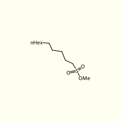 CCCCCCCCCCCS(=O)(=O)OC